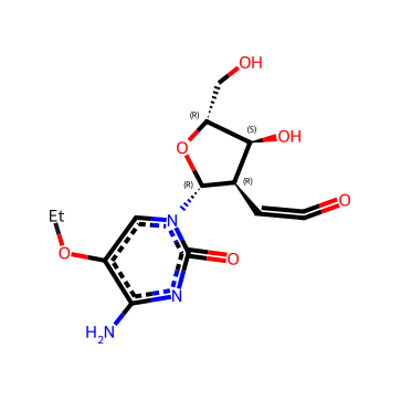 CCOc1cn([C@@H]2O[C@H](CO)[C@@H](O)[C@H]2C=C=O)c(=O)nc1N